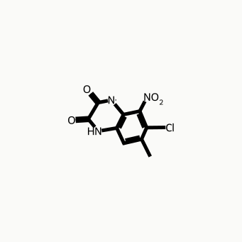 Cc1cc2c(c([N+](=O)[O-])c1Cl)[N]C(=O)C(=O)N2